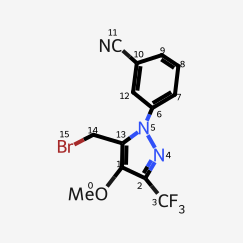 COc1c(C(F)(F)F)nn(-c2cccc(C#N)c2)c1CBr